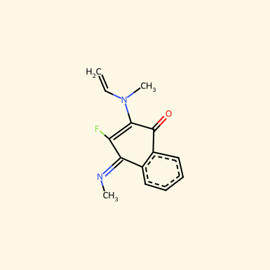 C=CN(C)C1=C(F)/C(=N/C)c2ccccc2C1=O